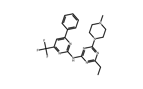 CCc1nc(Nc2nc(-c3ccccc3)cc(C(F)(F)F)n2)nc(N2CCN(C)CC2)n1